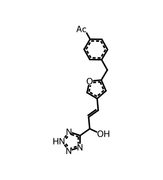 CC(=O)c1ccc(Cc2cc(C=CC(O)c3nn[nH]n3)co2)cc1